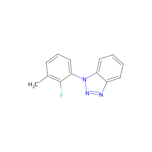 Cc1cccc(-n2nnc3ccccc32)c1F